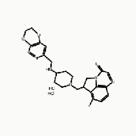 Cl.Cl.O=c1cnc2ccc(F)c3c2n1CC3CN1CCC(NCc2cc3c(nn2)OCCO3)CC1